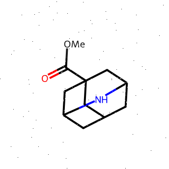 COC(=O)C12CC3CC(C1)NC(C3)C2